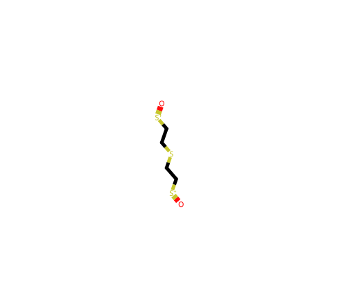 O=[S+]CCSCC[S+]=O